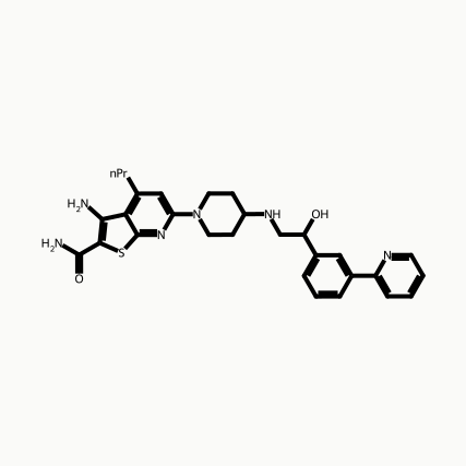 CCCc1cc(N2CCC(NCC(O)c3cccc(-c4ccccn4)c3)CC2)nc2sc(C(N)=O)c(N)c12